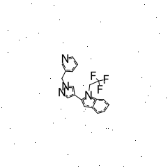 FC(F)(F)Cn1c(-c2cnn(Cc3cccnc3)c2)cc2ccccc21